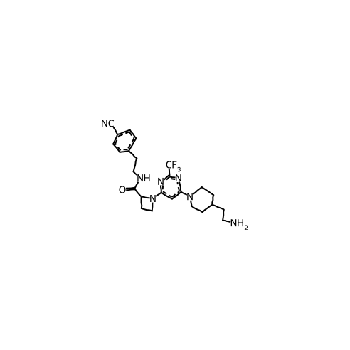 N#Cc1ccc(CCNC(=O)C2CCN2c2cc(N3CCC(CCN)CC3)nc(C(F)(F)F)n2)cc1